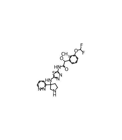 CO[C@H](C(=O)Nc1nnc(NC2(c3cccnn3)CCNC2)s1)c1cccc(OC(F)F)c1